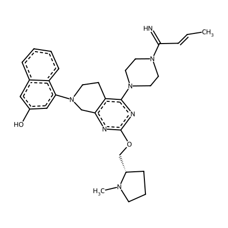 C/C=C/C(=N)N1CCN(c2nc(OC[C@@H]3CCCN3C)nc3c2CCN(c2cc(O)cc4ccccc24)C3)CC1